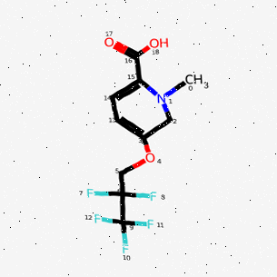 CN1CC(OCC(F)(F)C(F)(F)F)=CC=C1C(=O)O